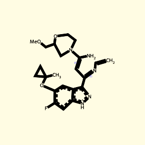 C=C/N=C(\C=C(/N)N1CCOC(COC)C1)c1n[nH]c2cc(F)c(OC3(C)CC3)cc12